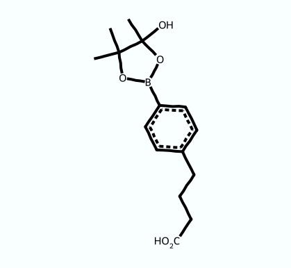 CC1(C)OB(c2ccc(CCCC(=O)O)cc2)OC1(C)O